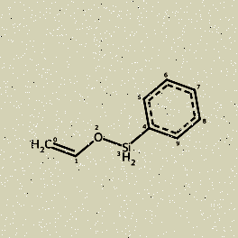 C=CO[SiH2]c1ccccc1